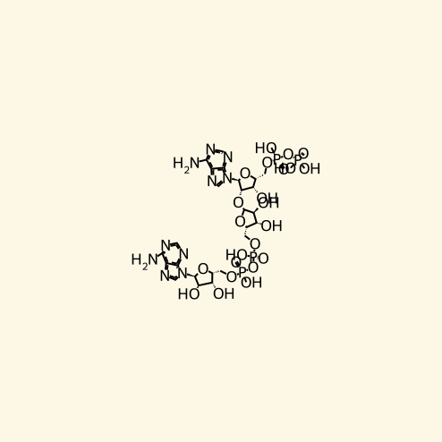 Nc1ncnc2c1ncn2[C@H]1O[C@H](COP(=O)(O)OP(=O)(O)OC[C@@H]2O[C@@H](O[C@H]3[C@@H](O)[C@@H](COP(=O)(O)OP(=O)(O)O)O[C@@H]3n3cnc4c(N)ncnc43)[C@@H](O)[C@@H]2O)[C@H](O)[C@@H]1O